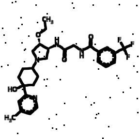 CCO[C@H]1CN(C2CCC(O)(c3cc(C)ccn3)CC2)C[C@@H]1NC(=O)CNC(=O)c1cccc(C(F)(F)F)c1